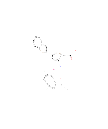 CCOP(=O)(Nc1cc(-c2cc3ccccc3s2)sc1C(=O)O)c1ccc(Cl)cc1Cl